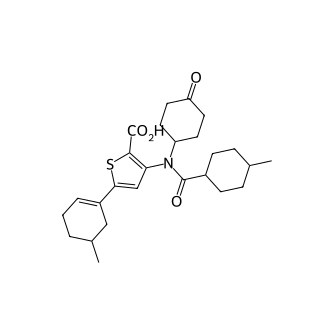 CC1CCC(C(=O)N(c2cc(C3=CCCC(C)C3)sc2C(=O)O)C2CCC(=O)CC2)CC1